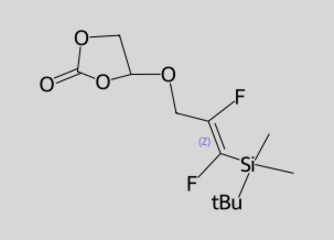 CC(C)(C)[Si](C)(C)/C(F)=C(\F)COC1COC(=O)O1